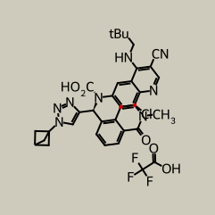 Cn1ccc2c([C@@H](c3cn(C45CC(C4)C5)nn3)N(C(=O)O)c3cc(Cl)c4ncc(C#N)c(NCC(C)(C)C)c4c3)cccc2c1=O.O=C(O)C(F)(F)F